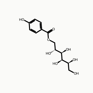 O=C(OC[C@@H](O)[C@@H](O)[C@H](O)[C@@H](O)CO)c1ccc(O)cc1